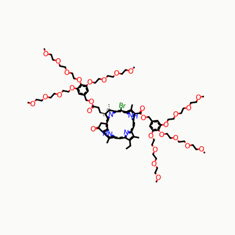 CCC1=C(C)c2cc3[nH]c(c(C)c3C(=O)OCc3cc(OCCOCCOCCOC)c(OCCOCCOCCOC)c(OCCOCCOCCOC)c3)c(Br)c3nc(c4c5[nH]c(cc1n2)c(C)c5C(=O)C4)[C@@H](CCC(=O)OCc1cc(OCCOCCOCCOC)c(OCCOCCOCCOC)c(OCCOCCOCCOC)c1)[C@@H]3C